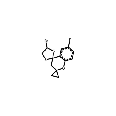 Fc1ccc2c(c1)C1(CC3(CC3)O2)SCC(Br)S1